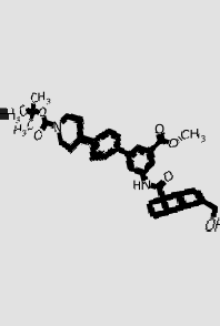 COC(=O)c1cc(NC(=O)C23C4C5C2C2C3C4C52CO)cc(-c2ccc(C3CCN(C(=O)OC(C)(C)C)CC3)cc2)c1